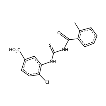 Cc1ccccc1C(=O)NC(=S)Nc1cc(C(=O)O)ccc1Cl